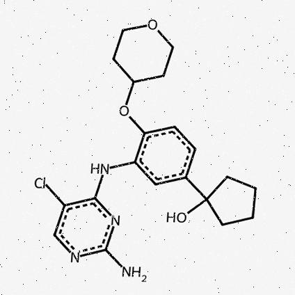 Nc1ncc(Cl)c(Nc2cc(C3(O)CCCC3)ccc2OC2CCOCC2)n1